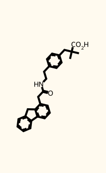 CC(C)(Cc1ccc(CCNC(=O)Cc2cccc3c2Cc2ccccc2-3)cc1)C(=O)O